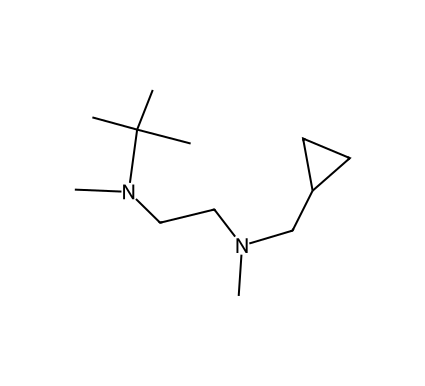 CN(CCN(C)C(C)(C)C)CC1CC1